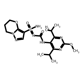 COc1nc(C(C)C)c(NC(=O)N=S(N)(=O)c2cnn3c2OCCC3)c(C(C)C)n1